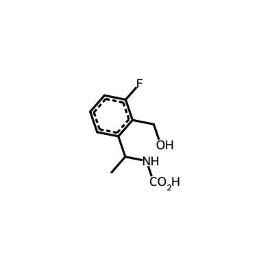 CC(NC(=O)O)c1cccc(F)c1CO